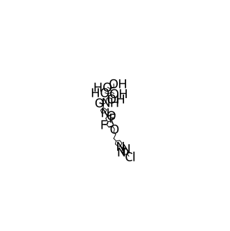 O=C(NCC(O)C(O)C(O)C(O)CO)[C@H]1CCN(C(=O)Cc2c(F)cc(OCCCC3CCN(c4ncc(Cl)cn4)CC3)cc2F)C1